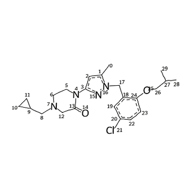 Cc1cc(N2CCN(CC3CC3)CC2=O)nn1Cc1cc(Cl)ccc1OCC(C)C